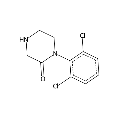 O=C1CNCCN1c1c(Cl)cccc1Cl